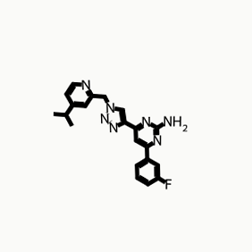 CC(C)c1ccnc(Cn2cc(-c3cc(-c4cccc(F)c4)nc(N)n3)nn2)c1